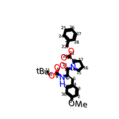 COc1ccc(C[C@@H](NC(=O)OC(C)(C)C)C(=O)N2CCC[C@H]2C(=O)OCc2ccccc2)cc1